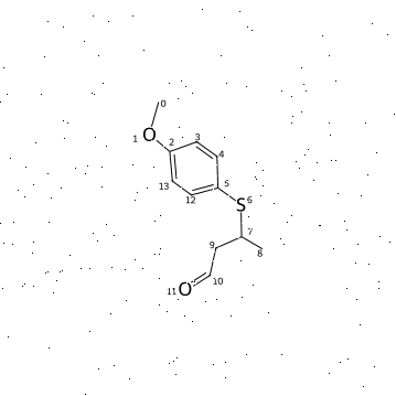 COc1ccc(SC(C)CC=O)cc1